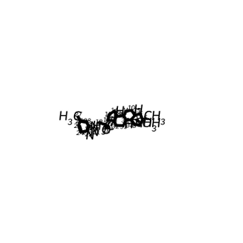 CC[C@]12CC[C@@](C)(O)C[C@H]1CC[C@H]1[C@@H]3CC[C@H](C(=O)Cn4nnc5ccc(C)cc54)[C@@]3(C)CC[C@@H]12